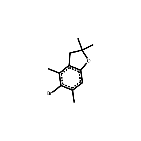 Cc1cc2c(c(C)c1Br)CC(C)(C)O2